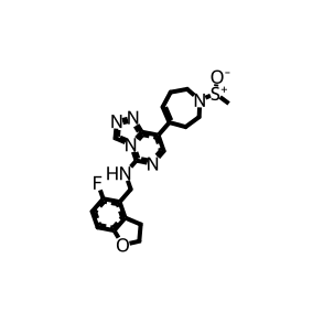 C[S+]([O-])N1CCC=C(c2cnc(NCc3c(F)ccc4c3CCO4)n3cnnc23)CC1